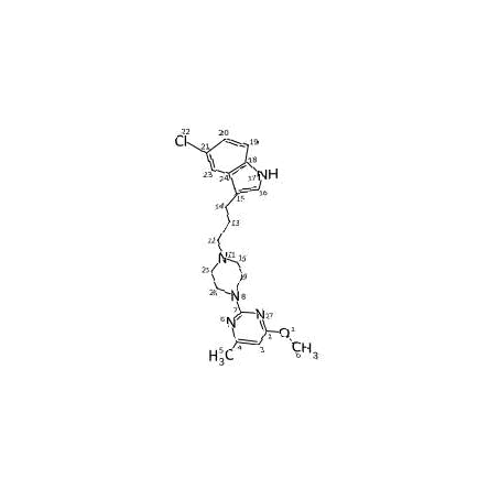 COc1cc(C)nc(N2CCN(CCCc3c[nH]c4ccc(Cl)cc34)CC2)n1